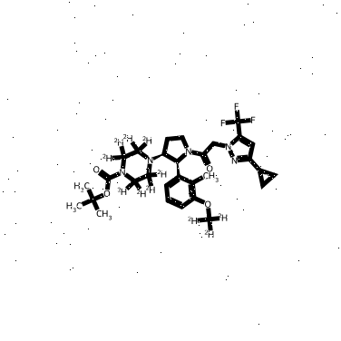 [2H]C([2H])([2H])Oc1cccc([C@H]2[C@@H](N3C([2H])([2H])C([2H])([2H])N(C(=O)OC(C)(C)C)C([2H])([2H])C3([2H])[2H])CCN2C(=O)Cn2nc(C3CC3)cc2C(F)(F)F)c1C